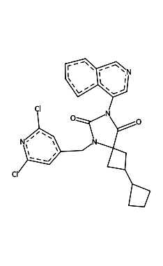 O=C1N(c2cncc3ccccc23)C(=O)C2(CC(C3CCC3)C2)N1Cc1cc(Cl)nc(Cl)c1